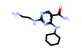 NCCNc1ncc(C(N)=O)c(NC2CCCCC2)n1